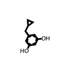 Oc1cc(O)cc(CC2CC2)c1